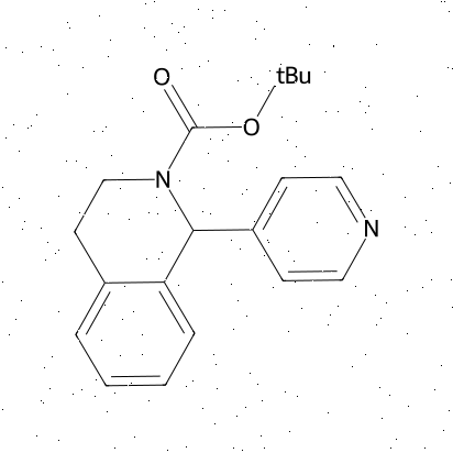 CC(C)(C)OC(=O)N1CCc2ccccc2C1c1ccncc1